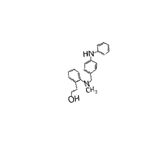 CN(Cc1ccc(Nc2ccccc2)cc1)c1ccccc1CCO